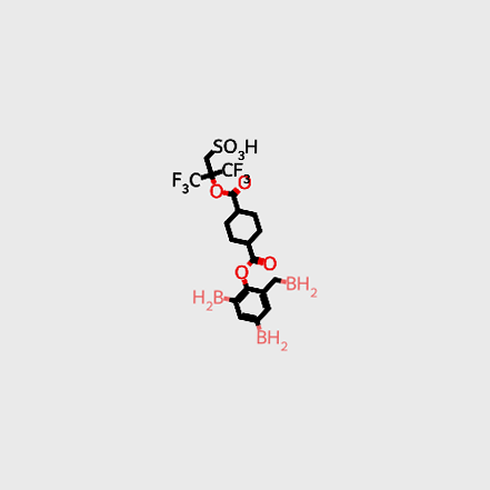 BCc1cc(B)cc(B)c1OC(=O)C1CCC(C(=O)OC(CS(=O)(=O)O)(C(F)(F)F)C(F)(F)F)CC1